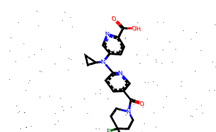 O=C(O)c1ccc(N(c2ccc(C(=O)N3CCC(F)(F)CC3)cn2)C2CC2)cn1